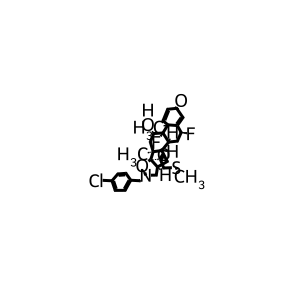 CSCC(=O)[C@@]12ON(Cc3ccc(Cl)cc3)C[C@@H]1C[C@H]1[C@@H]3C[C@H](F)C4=CC(=O)C=C[C@]4(C)[C@@]3(F)[C@@H](O)C[C@@]12C